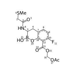 CSCC(=O)NC1Cc2ccc(F)c(C(=O)OCOC(C)=O)c2OB1O